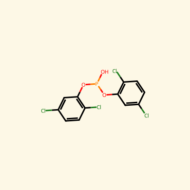 OP(Oc1cc(Cl)ccc1Cl)Oc1cc(Cl)ccc1Cl